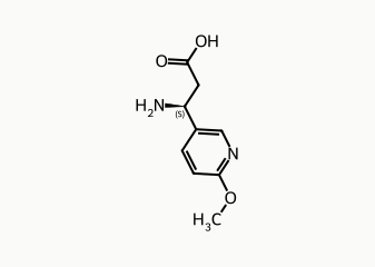 COc1ccc([C@@H](N)CC(=O)O)cn1